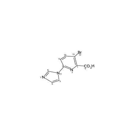 O=C(O)c1nc(-n2ccnc2)ccc1Br